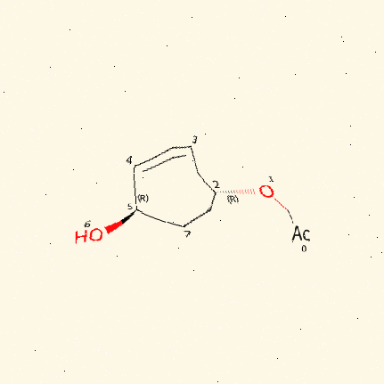 CC(=O)O[C@H]1C=C[C@H](O)C1